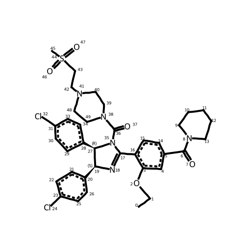 CCOc1cc(C(=O)N2CCCCC2)ccc1C1=N[C@@H](c2ccc(Cl)cc2)[C@@H](c2ccc(Cl)cc2)N1C(=O)N1CCN(CCS(C)(=O)=O)CC1